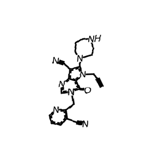 C#CCn1c(N2CCCNCC2)c(C#N)c2ncn(Cc3ncccc3C#N)c(=O)c21